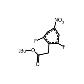 CC(C)(C)OC(=O)Cc1c(F)cc([N+](=O)[O-])cc1F